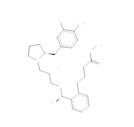 COC(=O)CCCc1ccccc1[C@@H](C)OC[C@@H](O)CN1CCC[C@H]1Cc1ccc(C)c(F)c1